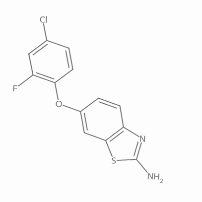 Nc1nc2ccc(Oc3ccc(Cl)cc3F)cc2s1